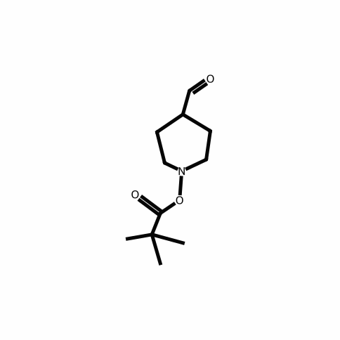 CC(C)(C)C(=O)ON1CCC(C=O)CC1